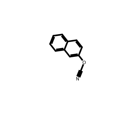 N#COc1ccc2ccccc2c1